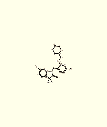 O=C1N(Cc2cnc(Cl)nc2NCC2CCOCC2)c2cc(F)ccc2C12CC2